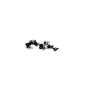 CCCS(=O)(=O)CCNC(=O)c1cccc(Nc2nc(Cl)nc(Nc3ccc(N=Nc4cc(OC)c(N=Nc5cc6c(S(=O)(=O)O)cccc6cc5S(=O)(=O)O)cc4OC)c4cccc(S(=O)(=O)O)c34)n2)c1